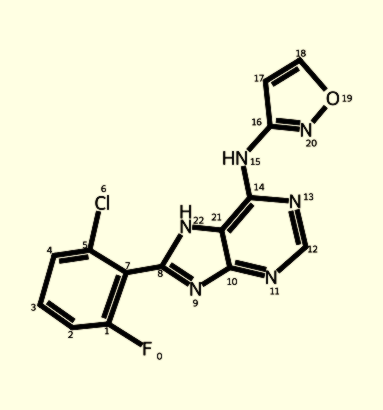 Fc1cccc(Cl)c1-c1nc2ncnc(Nc3ccon3)c2[nH]1